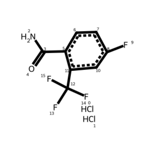 Cl.Cl.NC(=O)c1ccc(F)cc1C(F)(F)F